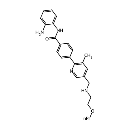 CCCOCCNCc1cnc(-c2ccc(C(=O)Nc3ccccc3N)cc2)c(C)c1